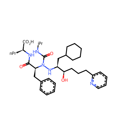 CCC[C@H](NC(=O)[C@H](Cc1ccccc1)N(N[C@@H](CC1CCCCC1)[C@H](O)CCCc1ccccn1)C(=O)NC(C)C)C(=O)O